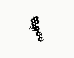 CC1(C)c2cc(-c3ccc(-c4cccnc4)nc3)ccc2-c2c1cc1ccc3cccc4ccc2c1c34